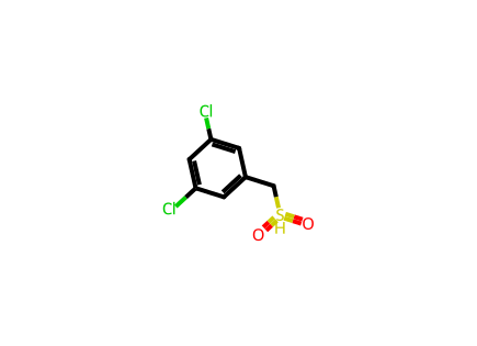 O=[SH](=O)Cc1cc(Cl)cc(Cl)c1